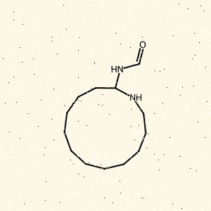 O=CNC1CCCCCCCCCCCN1